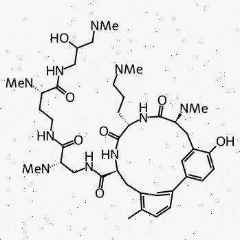 CNCCC[C@@H]1NC(=O)[C@@H](NC)Cc2cc(ccc2O)-c2ccc(C)c(c2)C[C@@H](C(=O)NC[C@H](NC)C(=O)NCC[C@H](NC)C(=O)NCC(O)CNC)NC1=O